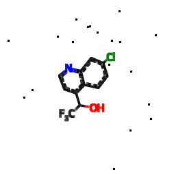 OC(c1ccnc2cc(Cl)ccc12)C(F)(F)F